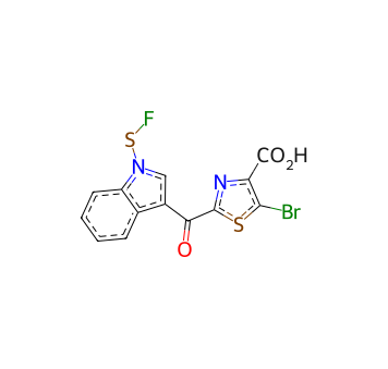 O=C(O)c1nc(C(=O)c2cn(SF)c3ccccc23)sc1Br